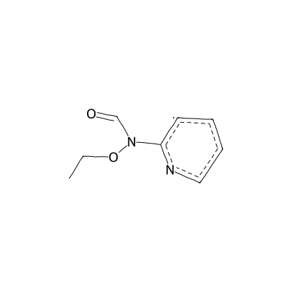 CCON(C=O)c1[c]cccn1